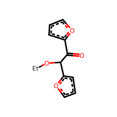 CCOC(C(=O)c1ccco1)c1ccco1